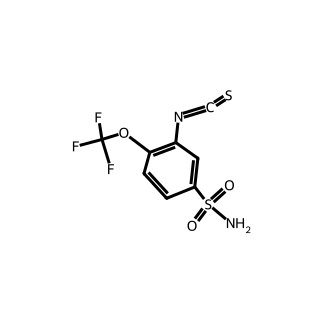 NS(=O)(=O)c1ccc(OC(F)(F)F)c(N=C=S)c1